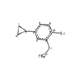 OCc1cc(C2CC2)ccc1I